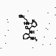 CC(C)(C)CCNc1ncccc1C(=O)Nc1ccccc1N